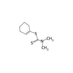 CN(C)C(=S)SC1=CCCCC1